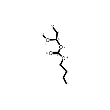 CCCCOC(=O)OC(CC)OC